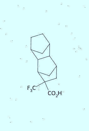 O=C(O)C1(C(F)(F)F)CC2CC1C1C3CCC(C3)C21